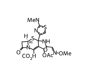 CNc1nc(C2(NC(=O)C=NOC)S[C@@H]3CC(=O)N3C(C(=O)O)=C2COC(C)=O)cs1